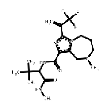 C=C(c1nc(C(=O)NC(C(=O)NC)C(C)(C)C)c2n1CCCN(C)C2)C(F)(F)F